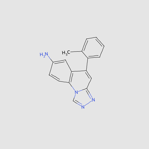 Cc1ccccc1-c1cc2nncn2c2ccc(N)cc12